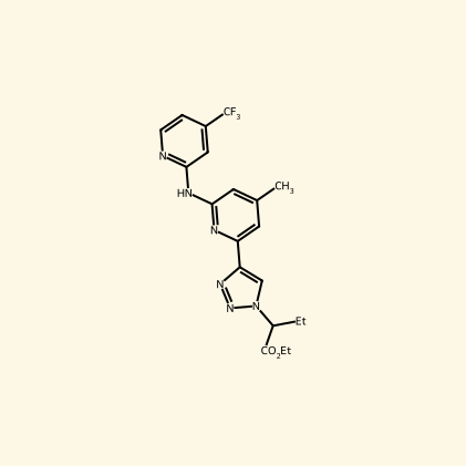 CCOC(=O)C(CC)n1cc(-c2cc(C)cc(Nc3cc(C(F)(F)F)ccn3)n2)nn1